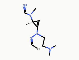 CC/C=N\N(CCN(C)C)C1=C[C@]1(C)N(C)C=N